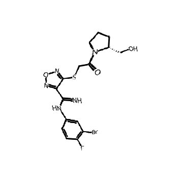 N=C(Nc1ccc(F)c(Br)c1)c1nonc1SCC(=O)N1CCC[C@@H]1CO